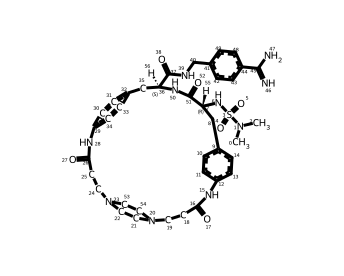 CN(C)S(=O)(=O)N[C@@H]1Cc2ccc(cc2)NC(=O)CCN2CCN(CCC(=O)Nc3ccc(cc3)C[C@@H](C(=O)NCc3ccc(C(=N)N)cc3)NC1=O)CC2